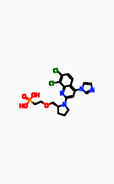 O=P(O)(O)CCOC[C@@H]1CCCN1c1cc(-n2ccnc2)c2ccc(Cl)c(Cl)c2n1